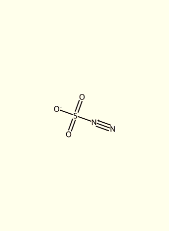 N#[N+]S(=O)(=O)[O-]